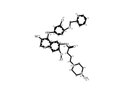 CCOc1cc2ncc(C#N)c(Nc3ccc(OCc4ccccn4)c(Cl)c3)c2cc1NC(=O)CCCN1CCN(C)CC1